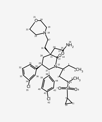 CCC(CN(C)S(=O)(=O)C1CC1)N1C(=O)[C@@](CCN2CCOCC2)(CC(N)=O)C[C@H](c2cccc(Cl)c2)[C@H]1c1ccc(Cl)cc1